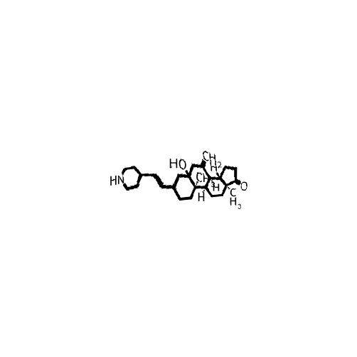 C=C1CC2(O)CC(C=CC3CCNCC3)CC[C@]2(C)[C@@H]2CC[C@]3(C)C(=O)CC[C@H]3[C@H]12